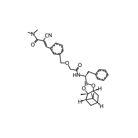 CN(C)C(=O)/C(C#N)=C/c1cccc(COCC(=O)N[C@@H](Cc2ccccc2)B2O[C@@H]3C[C@@H]4C[C@@H](C4(C)C)[C@]3(C)O2)c1